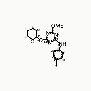 COc1nc(Nc2ccc(C)cc2)nc(OC2CCCCC2)n1